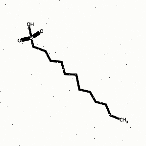 CCCCCCCC[CH]CCCS(=O)(=O)O